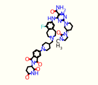 CN1CCN([C@@H]2CCCN(c3nnc(C(N)=O)c(Nc4cc(F)c5c(c4)CCN(CC4CCN(c6ccc7c(c6)C(=O)N(C6CCC(=O)NC6=O)C7=O)CC4)CC5)n3)C2)C1=O